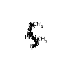 Cc1cc(OC2CC(F)(F)C2)cc(CC(=O)Nc2ccc(C3CCN(c4nnc(C)s4)C3)nn2)n1